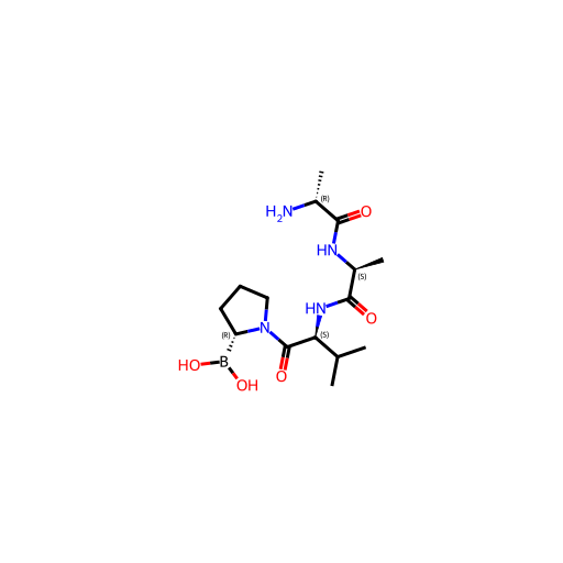 CC(C)[C@H](NC(=O)[C@H](C)NC(=O)[C@@H](C)N)C(=O)N1CCC[C@H]1B(O)O